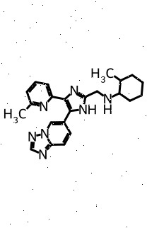 Cc1cccc(-c2nc(CNC3CCCCC3C)[nH]c2-c2ccc3ncnn3c2)n1